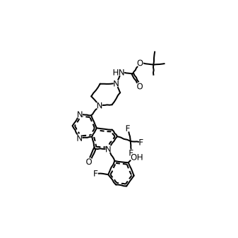 CC(C)(C)OC(=O)NN1CCN(c2ncnc3c(=O)n(-c4c(O)cccc4F)c(C(F)(F)F)cc23)CC1